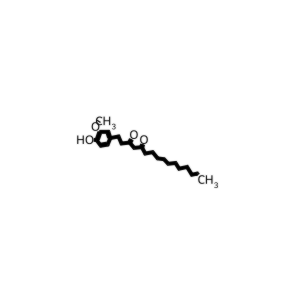 CCCCCCCCCCCC(=O)CC(=O)CCc1ccc(O)c(OC)c1